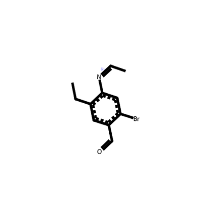 C/C=N\c1cc(Br)c(C=O)cc1CC